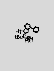 CC(C)(C)P(C1=Cc2c(-c3ccccc3)cccc2[CH]1[Hf])C(C)(C)C.Cl.Cl